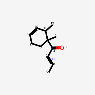 C/C=C/C(=O)C1(C)CCC=CC1C